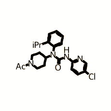 CC(=O)N1CCC(N(C(=O)Nc2ccc(Cl)cn2)c2ccccc2C(C)C)CC1